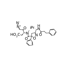 CC(C)[C@H](NC(=O)CCc1ccccc1)C1=NOC(C(=O)N(C)[C@@H](CC(=O)O)C(=O)C=[N+]=[N-])(c2ccccc2)C1